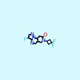 O=c1cc2c(cnc3c(F)cnn32)cn1C1CC(F)(F)C1